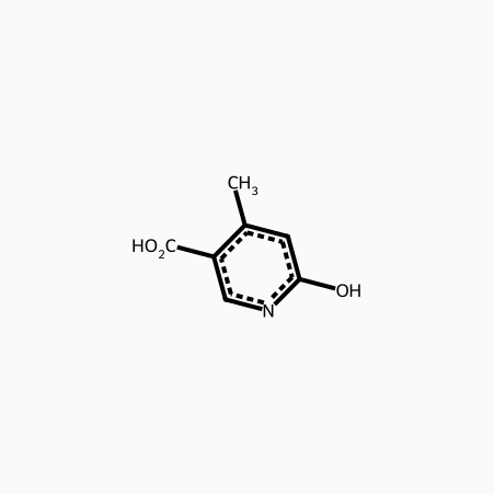 Cc1cc(O)ncc1C(=O)O